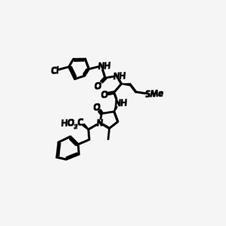 CSCC[C@H](NC(=O)Nc1ccc(Cl)cc1)C(=O)N[C@H]1CC(C)N([C@@H](Cc2ccccc2)C(=O)O)C1=O